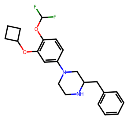 FC(F)Oc1ccc(N2CCNC(Cc3ccccc3)C2)cc1OC1CCC1